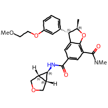 CNC(=O)c1cc(C(=O)N[C@H]2[C@@H]3COC[C@@H]32)cc2c1O[C@H](C)[C@H]2c1cccc(OCCOC)c1